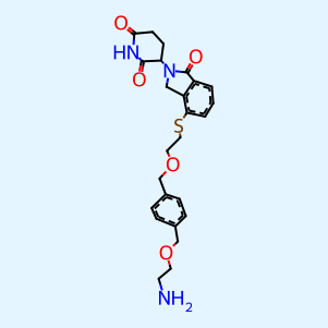 NCCOCc1ccc(COCCSc2cccc3c2CN(C2CCC(=O)NC2=O)C3=O)cc1